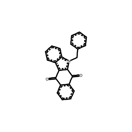 O=C1c2ccccc2C(=O)c2c1c1ccccc1n2Cc1ccccc1